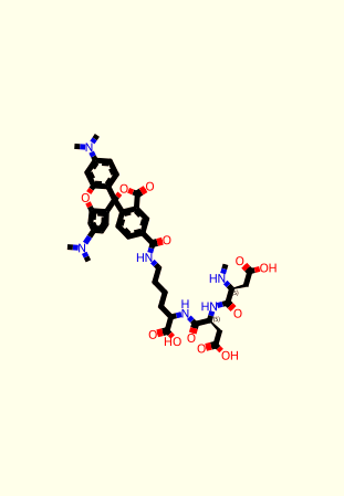 CN[C@@H](CC(=O)O)C(=O)N[C@@H](CC(=O)O)C(=O)NC(CCCCNC(=O)c1ccc2c(c1)C(=O)OC21c2ccc(N(C)C)cc2Oc2cc(N(C)C)ccc21)C(=O)O